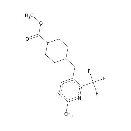 COC(=O)C1CCC(Cc2cnc(C)nc2C(F)(F)F)CC1